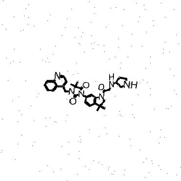 CC1(C)CN(C(=O)CNC2CCNC2)c2cc(N3C(=O)N(Cc4ccnc5ccccc45)C(C)(C)C3=O)ccc21